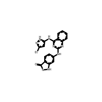 CCc1cc(Nc2nc(Nc3ccc4c(c3)N[N]C4=O)nc3ccccc23)[nH]n1